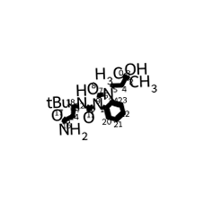 CC(C)(O)CCn1c(=O)n(C(=O)N[C@H](CC(N)=O)C(C)(C)C)c2ccccc21